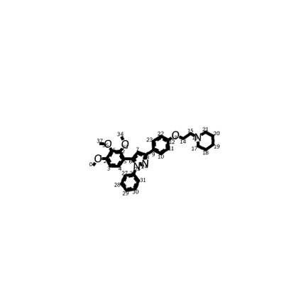 COc1ccc(-c2cc(-c3ccc(OCCN4CCCCC4)cc3)nn2-c2ccccc2)c(OC)c1OC